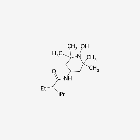 CCC(C(=O)NC1CC(C)(C)N(O)C(C)(C)C1)C(C)C